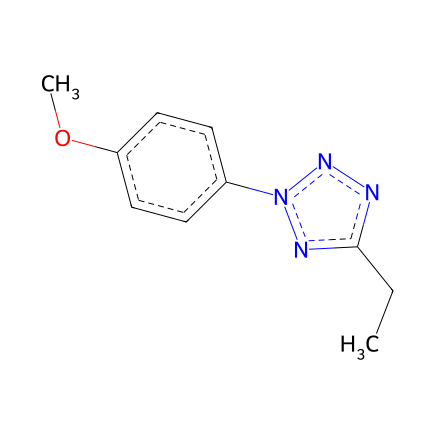 CCc1nnn(-c2ccc(OC)cc2)n1